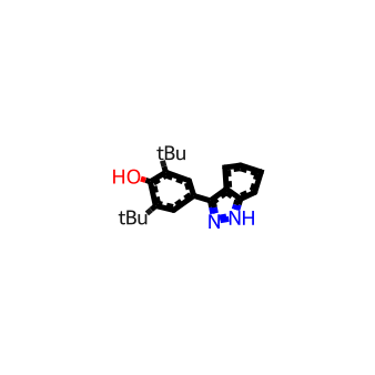 CC(C)(C)c1cc(-c2n[nH]c3ccccc23)cc(C(C)(C)C)c1O